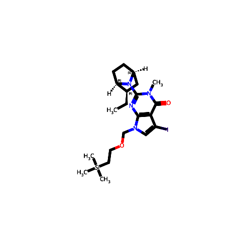 CC[C@@H]1C[C@@H]2CC[C@H]1N2c1nc2c(c(I)cn2COCC[Si](C)(C)C)c(=O)n1C